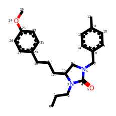 CCCN1C(=O)N(Cc2ccc(C)cc2)CC1CCCc1ccc(OC)cc1